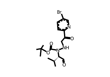 CC(C)[C@@H](C=O)N(NCC(=O)c1ccc(Br)cn1)C(=O)OC(C)(C)C